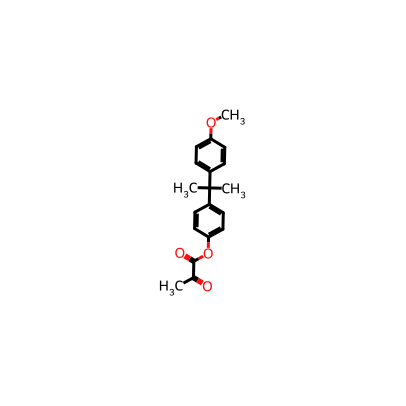 COc1ccc(C(C)(C)c2ccc(OC(=O)C(C)=O)cc2)cc1